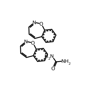 C1=Cc2ccccc2ON=C1.C1=Cc2ccccc2ON=C1.NC(N)=O